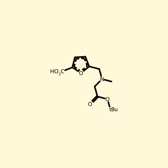 CN(CC(=O)OC(C)(C)C)Cc1ccc(C(=O)O)o1